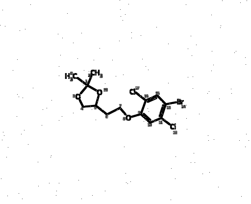 CC1(C)OCC(CCOc2cc(Cl)c(Br)cc2Cl)O1